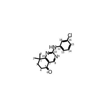 CC1(C)CCC(=O)c2cnc(Nc3cccc(Cl)c3)nc21